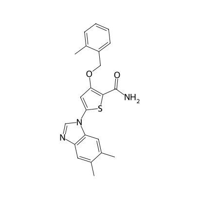 Cc1cc2ncn(-c3cc(OCc4ccccc4C)c(C(N)=O)s3)c2cc1C